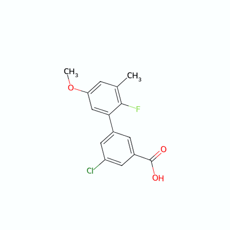 COc1cc(C)c(F)c(-c2cc(Cl)cc(C(=O)O)c2)c1